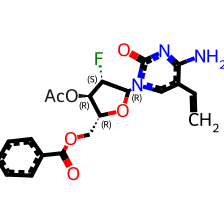 C=Cc1cn([C@@H]2O[C@H](COC(=O)c3ccccc3)[C@@H](OC(C)=O)[C@@H]2F)c(=O)nc1N